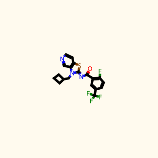 O=C(/N=c1\sc2ccncc2n1CC1CCC1)c1cc(C(F)(F)F)ccc1F